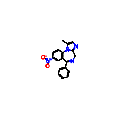 Cc1cnc2n1-c1ccc([N+](=O)[O-])cc1C(c1ccccc1)=NC2